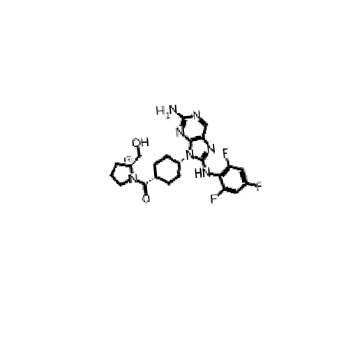 Nc1ncc2nc(Nc3c(F)cc(F)cc3F)n([C@H]3CC[C@@H](C(=O)N4CCC[C@H]4CO)CC3)c2n1